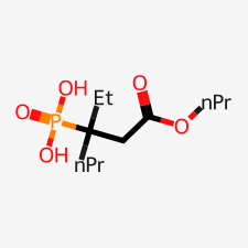 CCCOC(=O)CC(CC)(CCC)P(=O)(O)O